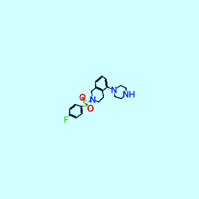 O=S(=O)(c1ccc(F)cc1)N1CCc2c(cccc2N2CCNCC2)C1